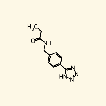 CCC(=O)NCc1ccc(-c2nnn[nH]2)cc1